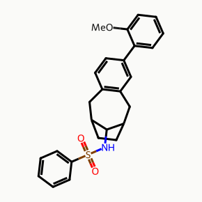 COc1ccccc1-c1ccc2c(c1)CC1CCC(C2)C1NS(=O)(=O)c1ccccc1